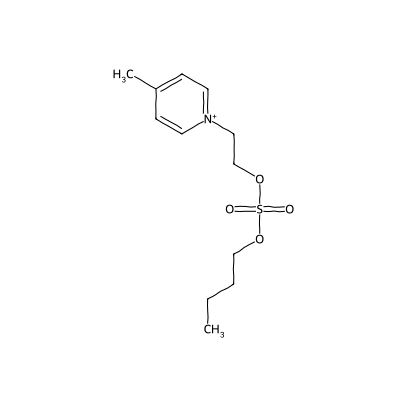 CCCCOS(=O)(=O)OCC[n+]1ccc(C)cc1